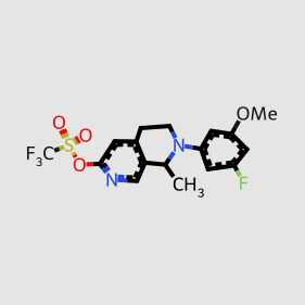 COc1cc(F)cc(N2CCc3cc(OS(=O)(=O)C(F)(F)F)ncc3C2C)c1